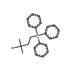 CC(C)(Br)CC[PH](c1ccccc1)(c1ccccc1)c1ccccc1